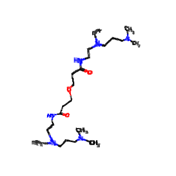 CCCN(CCCN(C)C)CCNC(=O)CCOCCC(=O)NCCN(CCC)CCCN(C)C